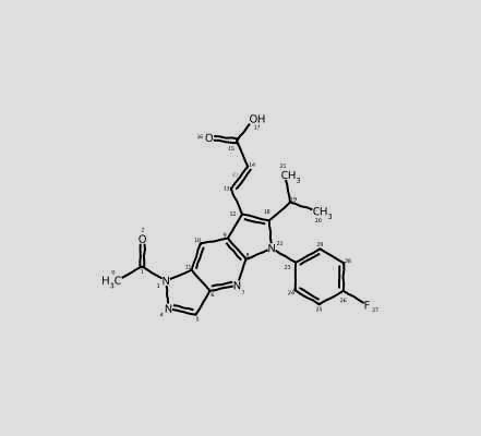 CC(=O)n1ncc2nc3c(cc21)c(/C=C/C(=O)O)c(C(C)C)n3-c1ccc(F)cc1